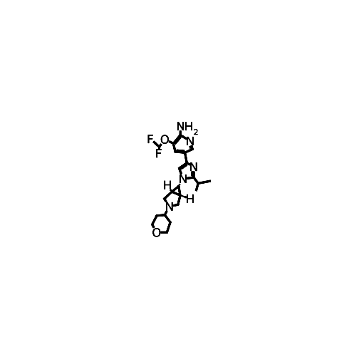 CC(C)c1nc(-c2cnc(N)c(OC(F)F)c2)cn1[C@@H]1[C@@H]2CN(C3CCOCC3)C[C@@H]21